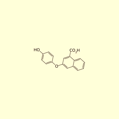 O=C(O)c1cc(Oc2ccc(O)cc2)cc2ccccc12